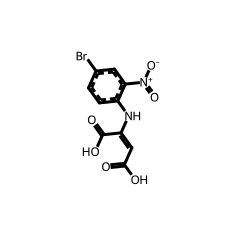 O=C(O)C=C(Nc1ccc(Br)cc1[N+](=O)[O-])C(=O)O